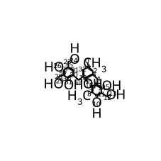 Cc1cc(Cc2cc(C)c(O)c(CO)c2O)c(O)c(Cc2cc(CO)c(O)c(CO)c2O)c1